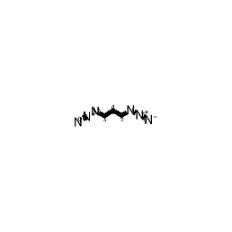 [N-]=[N+]=NC[CH]CN=[N+]=[N-]